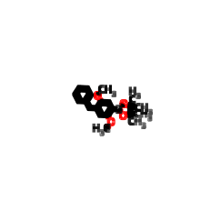 COc1cc(B2OC(C)(C)C(C)(C)O2)c(OC)cc1Cc1ccccc1